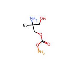 CCC(N)(CO)COC(=O)OP